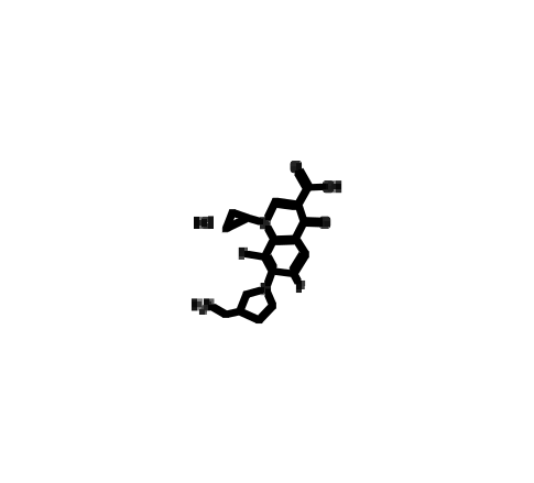 Cl.NCC1CCN(c2c(F)cc3c(=O)c(C(=O)O)cn(C4CC4)c3c2F)C1